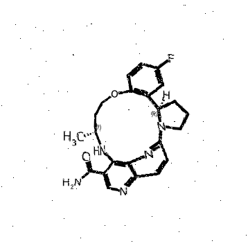 C[C@@H]1CCOc2ccc(F)cc2[C@H]2CCCN2c2ccc3ncc(C(N)=O)c(c3n2)N1